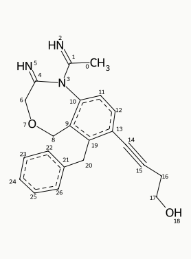 CC(=N)N1C(=N)COCc2c1ccc(C#CCCO)c2Cc1ccccc1